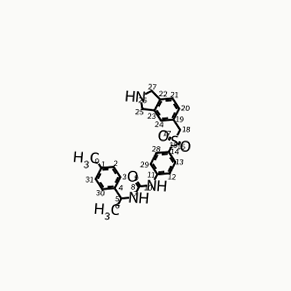 Cc1ccc(C(C)NC(=O)Nc2ccc(S(=O)(=O)Cc3ccc4c(c3)CNC4)cc2)cc1